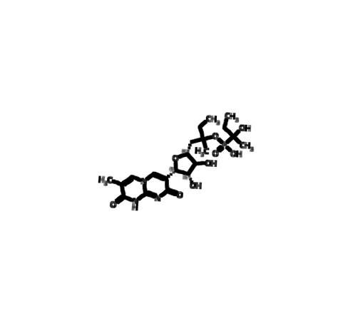 CCC(C)(C[C@H]1O[C@@H](c2cn3cc(C)c(=O)[nH]c3nc2=O)[C@@H](O)C1O)OP(=O)(O)C(C)(O)CC